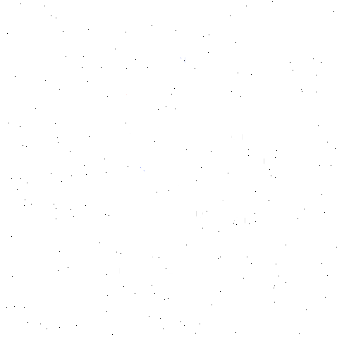 Cc1cc(N2c3cc4c(cc3B3c5ccncc5Oc5cccc2c53)C(C)(C)CC4(C)C)cc(C(C)(C)C)c1